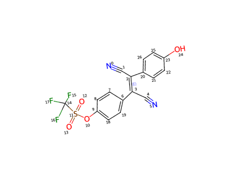 N#C/C(=C(/C#N)c1ccc(OS(=O)(=O)C(F)(F)F)cc1)c1ccc(O)cc1